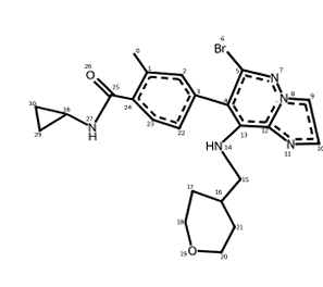 Cc1cc(-c2c(Br)nn3ccnc3c2NCC2CCOCC2)ccc1C(=O)NC1CC1